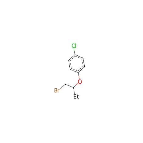 CCC(CBr)Oc1ccc(Cl)cc1